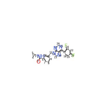 O=C(NC1CC1)c1cccc(Cn2cnc3c(-c4ccc(F)cc4F)ncnc32)c1